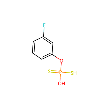 OP(=S)(S)Oc1cccc(F)c1